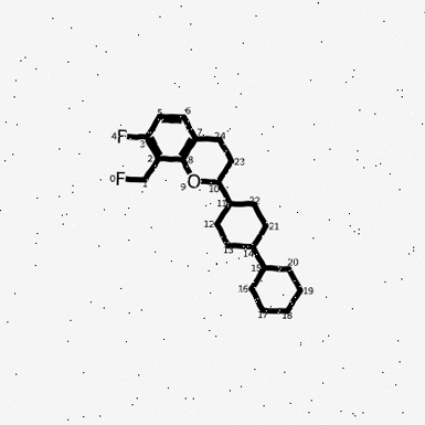 FCc1c(F)ccc2c1OC(C1CCC(C3CCCCC3)CC1)CC2